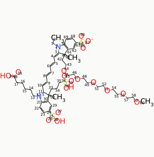 CCN1/C(=C/C=C/C=C/C=C/C2=[N+](CCCCCC(=O)O)c3ccc(S(=O)(=O)O)cc3C2(C)CCCS(=O)(=O)O)C(C)(CCOCCOCCOCCOCCOCCOC)c2cc(S(=O)(=O)[O-])ccc21